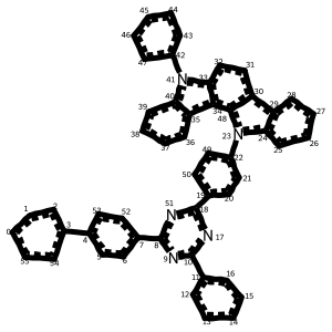 c1ccc(-c2ccc(-c3nc(-c4ccccc4)nc(-c4ccc(-n5c6ccccc6c6ccc7c(c8ccccc8n7-c7ccccc7)c65)cc4)n3)cc2)cc1